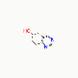 OC1CCc2ncncc2C1